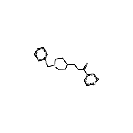 O=C(CCC1CCN(Cc2ccccc2)CC1)c1ccncc1